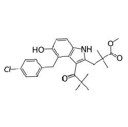 COC(=O)C(C)(C)Cc1[nH]c2ccc(O)c(Cc3ccc(Cl)cc3)c2c1C(=O)C(C)(C)C